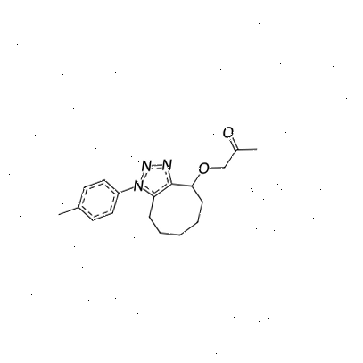 CC(=O)COC1CCCCCc2c1nnn2-c1ccc(C)cc1